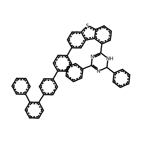 c1ccc(C2=NC(c3ccccc3)NC(c3cccc4sc5ccc(-c6ccc(-c7ccc(-c8ccccc8-c8ccccc8)cc7)cc6)cc5c34)=N2)cc1